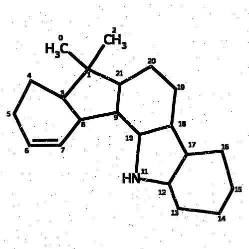 CC1(C)C2CCC=CC2C2C3NC4CCCCC4C3CCC21